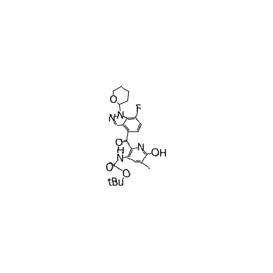 Cc1cc(NC(=O)OC(C)(C)C)c(C(=O)c2ccc(F)c3c2cnn3C2CCCCO2)nc1O